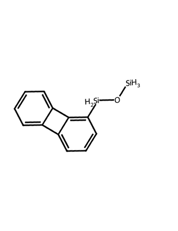 [SiH3]O[SiH2]c1cccc2c1-c1ccccc1-2